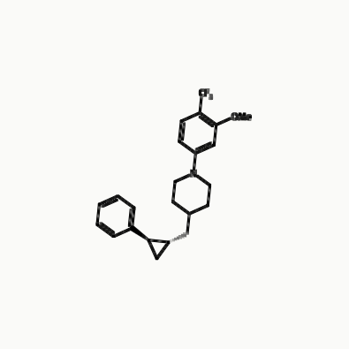 COc1cc(N2CCC(C[C@@H]3C[C@H]3c3ccccc3)CC2)ccc1C(F)(F)F